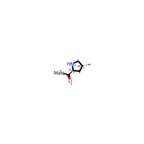 CNC(=O)[C@@H]1C[C@@H](C)CN1